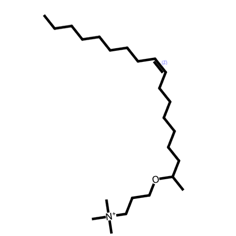 CCCCCCCC/C=C\CCCCCCC(C)OCCC[N+](C)(C)C